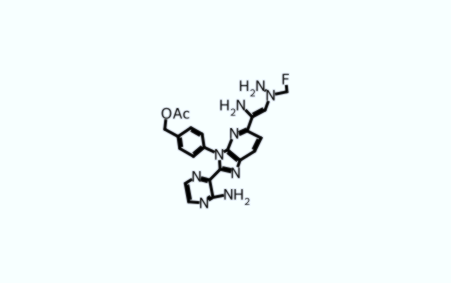 CC(=O)OCc1ccc(-n2c(-c3nccnc3N)nc3ccc(/C(N)=C/N(N)CF)nc32)cc1